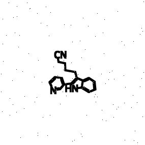 N#CCCCCc1c(-c2cccnc2)[nH]c2ccccc12